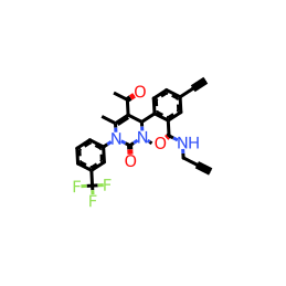 C#CCNC(=O)c1cc(C#C)ccc1C1C(C(C)=O)=C(C)N(c2cccc(C(F)(F)F)c2)C(=O)N1C